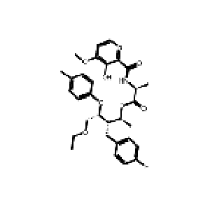 CCOC[C@H](Oc1ccc(C)cc1)[C@@H](Cc1ccc(F)cc1)[C@H](C)OC(=O)[C@H](C)NC(=O)c1nccc(OC)c1O